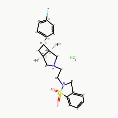 Cl.O=S1(=O)c2ccccc2CN1CCN1C[C@H]2C[C@H](c3ccc(F)cc3)[C@H]2C1